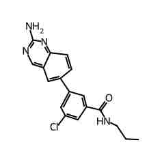 CCCNC(=O)c1cc(Cl)cc(-c2ccc3nc(N)ncc3c2)c1